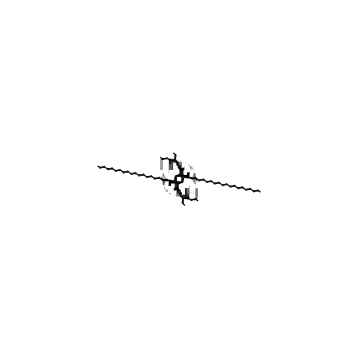 CCCCCCCCCCCCCCCCCCNC(=O)c1cc(C(=O)NCC(CC)CCCC)c(C(=O)NCCCCCCCCCCCCCCCCCC)cc1C(=O)NCC(CC)CCCC